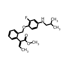 CC=C(C(=O)OC)c1ccccc1COc1ccc(NCC(C)C)cc1F